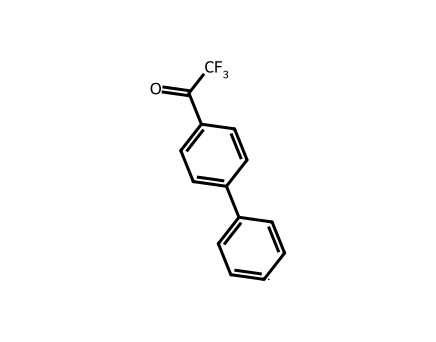 O=C(c1ccc(-c2cc[c]cc2)cc1)C(F)(F)F